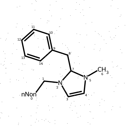 CCCCCCCCCCN1C=CN(C)C1Cc1ccccc1